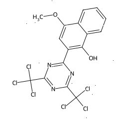 COc1cc(-c2nc(C(Cl)(Cl)Cl)nc(C(Cl)(Cl)Cl)n2)c(O)c2ccccc12